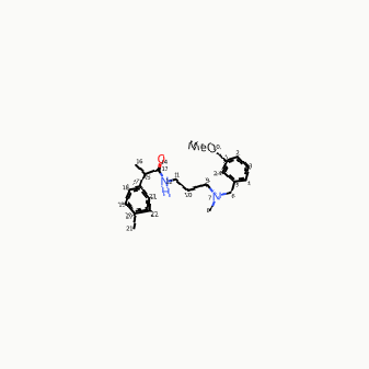 COc1cccc(CN(C)CCCNC(=O)C(C)c2ccc(C)cc2)c1